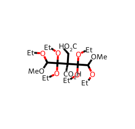 CCOC(OC)C(OCC)(OCC)C(CC(=O)O)(C(=O)O)C(OCC)(OCC)C(OC)OCC